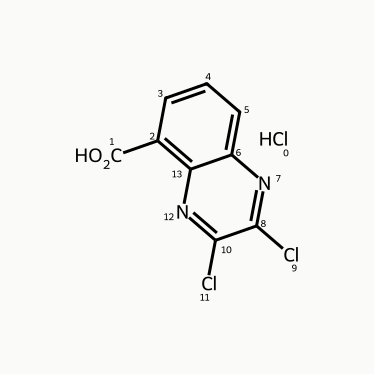 Cl.O=C(O)c1cccc2nc(Cl)c(Cl)nc12